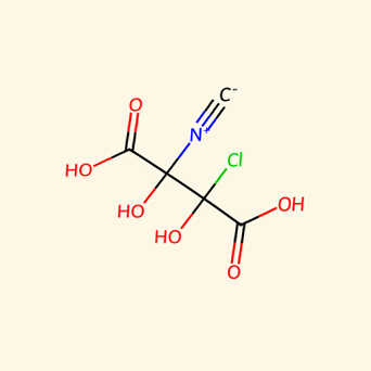 [C-]#[N+]C(O)(C(=O)O)C(O)(Cl)C(=O)O